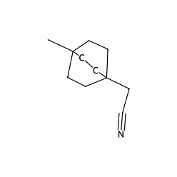 CC12CCC(CC#N)(CC1)CC2